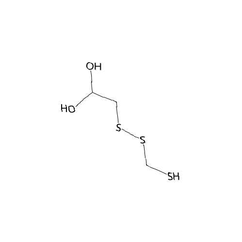 OC(O)CSSCS